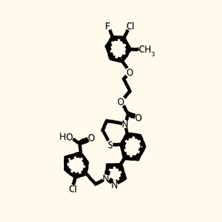 Cc1c(OCCOC(=O)N2CCSc3c(-c4cnn(Cc5cc(C(=O)O)ccc5Cl)c4)cccc32)ccc(F)c1Cl